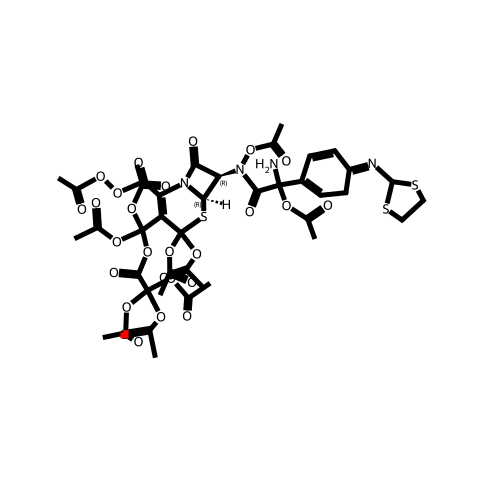 CC(=O)OOC(=O)C1=C(C(OC(C)=O)(OC(C)=O)OC(=O)C(OC(C)=O)(OC(C)=O)OC(C)=O)C(OC(C)=O)(OC(C)=O)S[C@@H]2[C@H](N(OC(C)=O)C(=O)C(N)(OC(C)=O)C3=CCC(=NC4SCCS4)C=C3)C(=O)N12